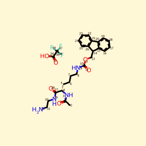 CC(=O)N[C@@H](CCCCNC(=O)OCC1c2ccccc2-c2ccccc21)C(=O)NCCN.O=C(O)C(F)(F)F